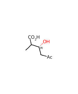 CC(=O)C[C@@H](O)C(C)C(=O)O